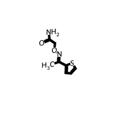 C/C(=N\OCC(N)=O)c1cccs1